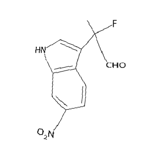 CC(F)(C=O)c1c[nH]c2cc([N+](=O)[O-])ccc12